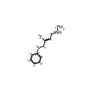 F/C(=C\CNP)CSc1ccccc1